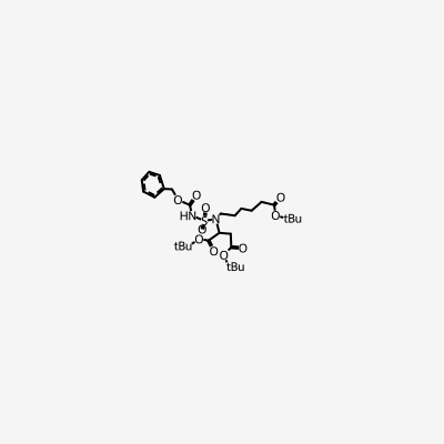 CC(C)(C)OC(=O)CCCCCN(C(CC(=O)OC(C)(C)C)C(=O)OC(C)(C)C)S(=O)(=O)NC(=O)OCc1ccccc1